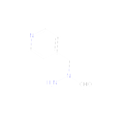 NN([C]=O)Cc1ccncc1